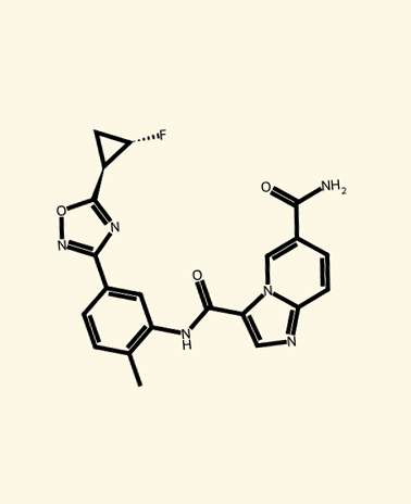 Cc1ccc(-c2noc([C@H]3C[C@@H]3F)n2)cc1NC(=O)c1cnc2ccc(C(N)=O)cn12